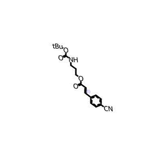 CC(C)(C)OC(=O)NCCCOC(=O)/C=C/c1ccc(C#N)cc1